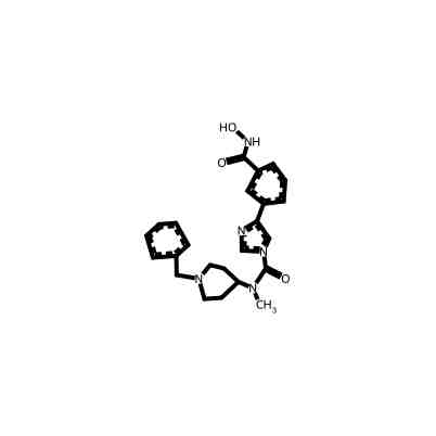 CN(C(=O)n1cnc(-c2cccc(C(=O)NO)c2)c1)C1CCN(Cc2ccccc2)CC1